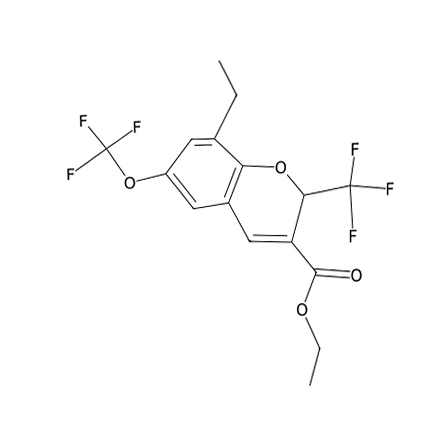 CCOC(=O)C1=Cc2cc(OC(F)(F)F)cc(CC)c2OC1C(F)(F)F